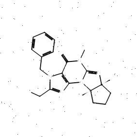 CN1C(=O)c2c(nc(CO)n2Cc2ccccc2)N2C1=N[C@@H]1CCC[C@@H]12